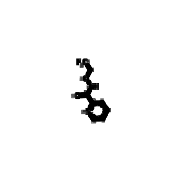 O=C(NOCC(F)(F)F)c1ccccn1